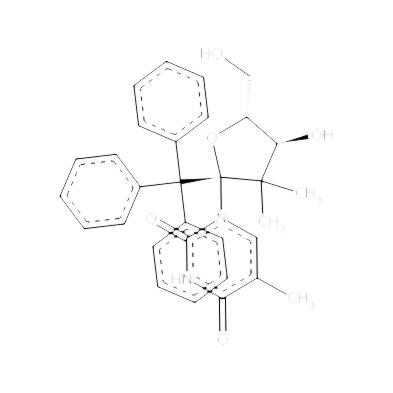 Cc1cn([C@]2(C(c3ccccc3)(c3ccccc3)c3ccccc3)O[C@H](CO)[C@@H](O)C2(C)C)c(=O)[nH]c1=O